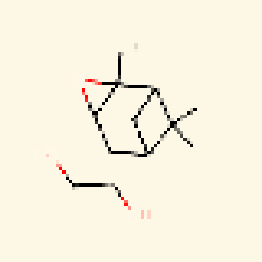 CC1(C)C2CC3OC3(C)C1C2.OCCO